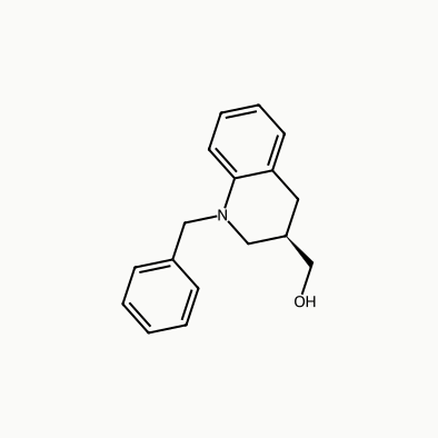 OC[C@@H]1Cc2ccccc2N(Cc2ccccc2)C1